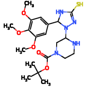 COc1cc(C2NC(S)=NN2C2CN(C(=O)OC(C)(C)C)CCN2)cc(OC)c1OC